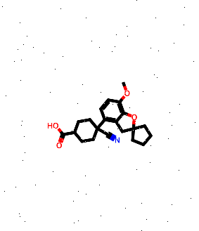 COc1ccc(C2(C#N)CCC(C(=O)O)CC2)c2c1OC1(CCCC1)C2